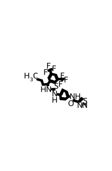 CCCCC(NC(=S)Nc1ccc(NC(=O)c2csnn2)cc1)c1cc(C(F)(F)F)cc(C(F)(F)F)c1